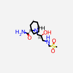 CS(=O)(=O)CNC[C@H](O)CN1[C@H]2C[CH]C[C@]1(C(N)=O)CC2